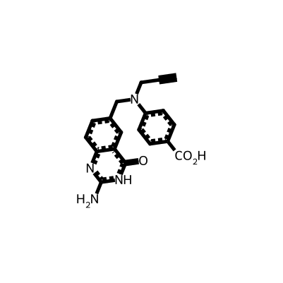 C#CCN(Cc1ccc2nc(N)[nH]c(=O)c2c1)c1ccc(C(=O)O)cc1